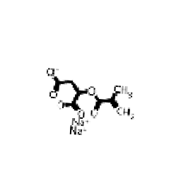 C=C(C)C(=O)OC(CC(=O)[O-])C(=O)[O-].[Na+].[Na+]